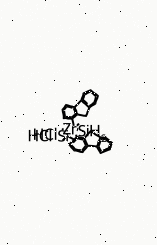 C[Si](C)(C)[Zr]([CH3])(=[SiH2])([c]1cccc2c1Cc1ccccc1-2)[c]1cccc2c1Cc1ccccc1-2.Cl.Cl